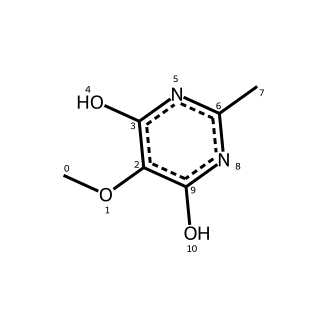 COc1c(O)nc(C)nc1O